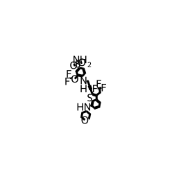 NS(=O)(=O)c1ccc(NCC#Cc2sc3c(NC4CCOCC4)cccc3c2CC(F)(F)F)c(OC(F)F)c1